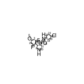 COc1cc(F)c(C2CNCCC2NC(=O)Nc2ccc(Cl)cc2)c(F)c1